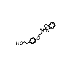 CN(CCOc1ccc(CCO)cc1)c1nc2ccccc2o1